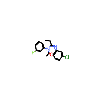 CC/C(=N/c1cccc(Cl)c1)N(C(C)=O)c1cccc(F)c1